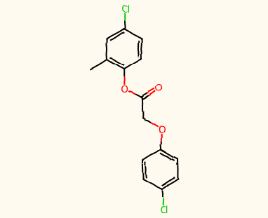 Cc1cc(Cl)ccc1OC(=O)COc1ccc(Cl)cc1